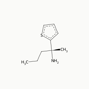 CCC[C@@](C)(N)c1cccs1